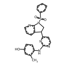 Cc1cc(O)ccc1Nc1nccc(C2CN(S(=O)(=O)c3ccccc3)c3ncccc32)n1